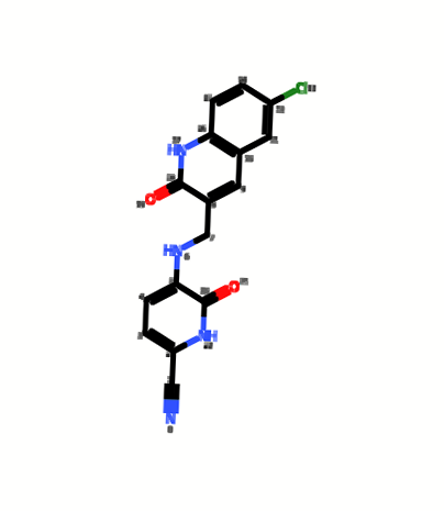 N#Cc1ccc(NCc2cc3cc(Cl)ccc3[nH]c2=O)c(=O)[nH]1